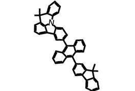 CC1(C)c2ccccc2-c2ccc(-c3c4ccccc4c(-c4ccc5c(c4)c4cccc6c4n5-c4ccccc4C6(C)C)c4ccccc34)cc21